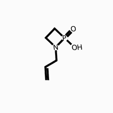 C=CCN1CCP1(=O)O